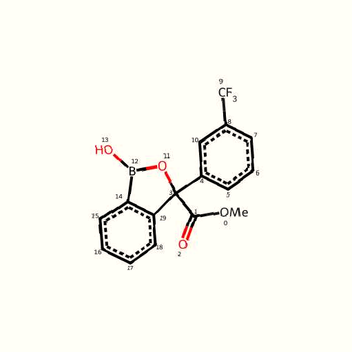 COC(=O)C1(c2cccc(C(F)(F)F)c2)OB(O)c2ccccc21